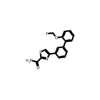 NC(=O)c1nc(-c2cccc(-c3ccccc3OCF)c2)cs1